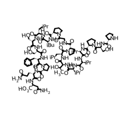 CC[C@H](C)[C@H](NC(=O)[C@@H]1CCCN1C(=O)CNC(=O)[C@@H]1CCCN1C(=O)[C@H](CC(C)C)NC(=O)[C@@H](NC(=O)[C@@H](NC(=O)[C@@H](NC(=O)[C@@H](NC(=O)[C@@H]1CCCN1C(=O)[C@H](CO)NC(=O)[C@@H]1CCCN1)C(C)C)C(C)C)C(C)C)[C@@H](C)O)C(=O)N[C@@H](CC(C)C)C(=O)N[C@@H](CO)C(=O)N[C@@H](CO)C(=O)N[C@@H](Cc1ccccc1)C(=O)N1CCC[C@H]1C(=O)N[C@@H](CCC(N)=O)C(=O)N[C@@H](CC(N)=O)C(=O)O